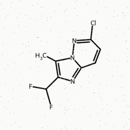 Cc1c(C(F)F)nc2ccc(Cl)nn12